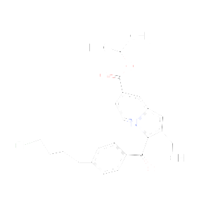 CCc1cc2cc(C(=O)OC(C)C)ccn2c1C(=O)c1ccc(CCCCCl)cc1